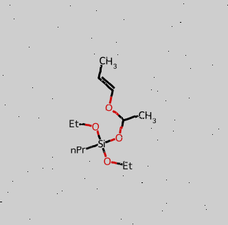 CC=COC(C)O[Si](CCC)(OCC)OCC